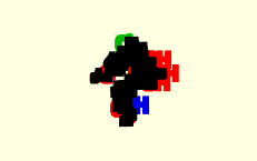 CCOc1ccc(Cc2cc([C@@H]3O[C@H](CSc4cccc(NC(=O)OC)c4)[C@@H](O)[C@H](O)[C@H]3O)ccc2Cl)cc1